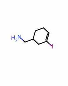 NCC1CCC=C(I)C1